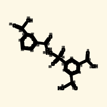 O=C(O)c1cc(C(=O)O)cc(S(=O)(=O)O)c1.O=C(O)c1cccc(C(=O)O)c1